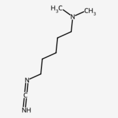 CN(C)CCCCCN=C=N